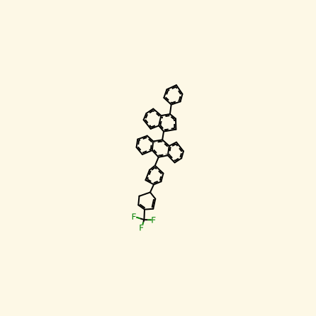 FC(F)(F)C1=CCC(c2ccc(-c3c4ccccc4c(-c4ccc(-c5ccccc5)c5ccccc45)c4ccccc34)cc2)C=C1